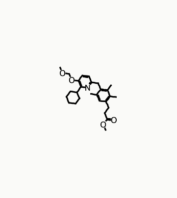 COCOc1ccc(Cc2c(C)cc(CCC(=O)OC)c(C)c2C)nc1C1CCCCC1